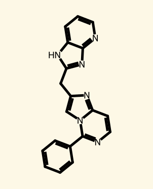 c1ccc(-c2nccc3nc(Cc4nc5ncccc5[nH]4)cn23)cc1